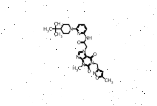 Cc1cc(Cn2c(=O)c3c(ncn3CC(=O)Nc3cccc(N4CCC(C(C)(C)C)CC4)n3)n(C)c2=O)no1